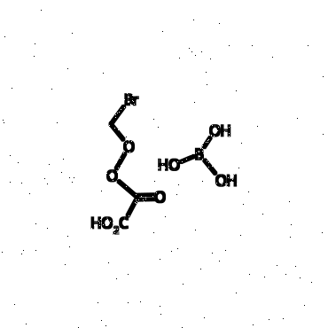 O=C(O)C(=O)OOCBr.OB(O)O